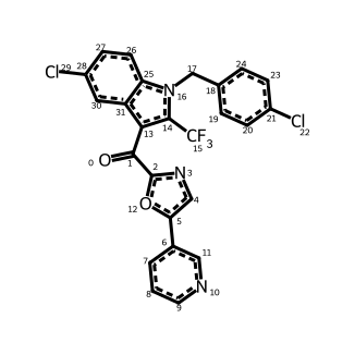 O=C(c1ncc(-c2cccnc2)o1)c1c(C(F)(F)F)n(Cc2ccc(Cl)cc2)c2ccc(Cl)cc12